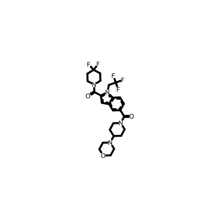 O=C(c1ccc2c(c1)cc(C(=O)N1CCC(F)(F)CC1)n2CC(F)(F)F)N1CCC(N2CCOCC2)CC1